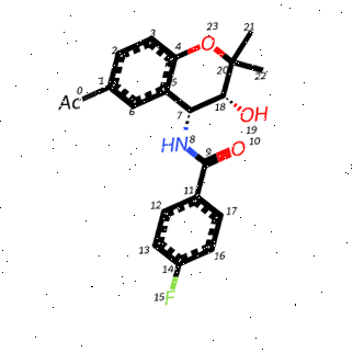 CC(=O)c1ccc2c(c1)[C@@H](NC(=O)c1ccc(F)cc1)[C@@H](O)C(C)(C)O2